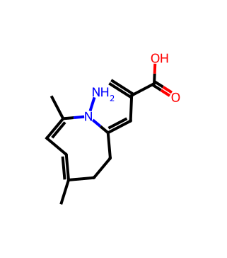 C=C(/C=C1/CC/C(C)=C/C=C(/C)N1N)C(=O)O